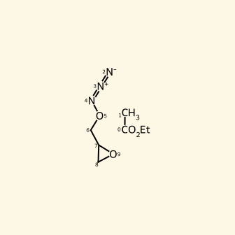 CCOC(C)=O.[N-]=[N+]=NOCC1CO1